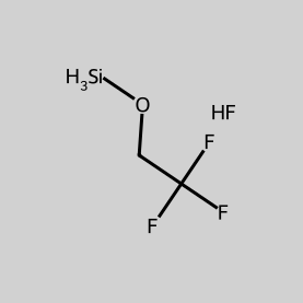 F.FC(F)(F)CO[SiH3]